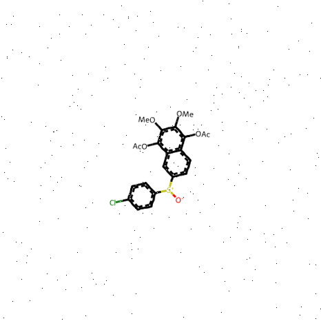 COc1c(OC)c(OC(C)=O)c2cc([S+]([O-])c3ccc(Cl)cc3)ccc2c1OC(C)=O